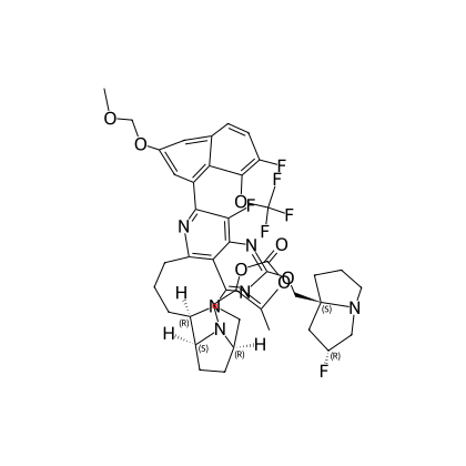 COCOc1cc(-c2nc3c4c(nc(OC[C@@]56CCCN5C[C@H](F)C6)nc4c2F)N2C[C@H]4CC[C@@H]([C@H]2CCC3)N4Cc2oc(=O)oc2C)c2c(OC(F)(F)F)c(F)ccc2c1